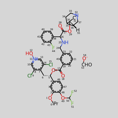 CC(C)Oc1cc([C@H](Cc2c(Cl)c[n+](O)cc2Cl)OC(=O)c2cccc(CNC(C(=O)O[C@H]3CN4CCC3CC4)c3ccccc3F)c2)ccc1OC(F)F.O=C[O-]